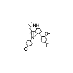 COc1ccc(NCc2c(-c3ccc(F)cc3OC)ccc3c2C(C)=CC(C)(C)N3)cc1